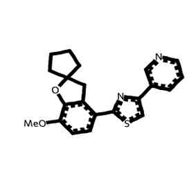 COc1ccc(-c2nc(-c3cccnc3)cs2)c2c1OC1(CCCC1)C2